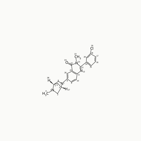 CN1C[C@@H]2C[C@H]1CN2c1ccc2nc(-c3cccc(Cl)c3)n(C)c(=O)c2c1